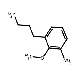 CCCCc1cccc(N)c1OC